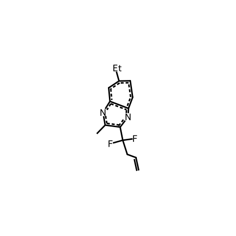 C=CCC(F)(F)c1nc2ccc(CC)cc2nc1C